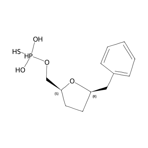 O[PH](O)(S)OC[C@@H]1CC[C@H](Cc2ccccc2)O1